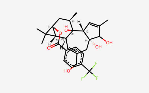 CC1=C[C@H]2[C@@]3(O)[C@H](C)C[C@]4(OC(=O)c5ccc(C(F)(F)F)cc5)[C@H]([C@@H]3C=C(CO)C[C@]2(O)C1O)C4(C)C